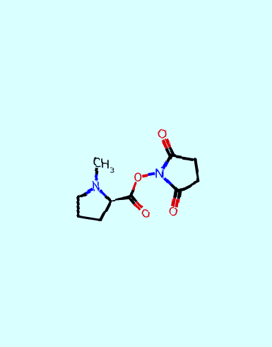 CN1CCC[C@@H]1C(=O)ON1C(=O)CCC1=O